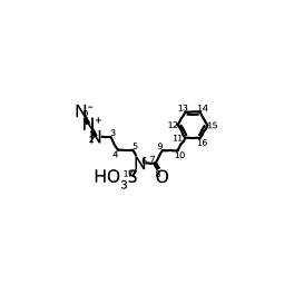 [N-]=[N+]=NCCCN(C(=O)CCc1ccccc1)S(=O)(=O)O